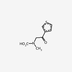 CN(CC(=O)c1ccsc1)C(=O)O